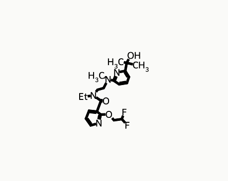 CCN(CCN(C)c1cccc(C(C)(C)O)n1)C(=O)c1cccnc1OCC(F)F